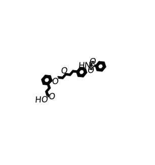 O=C(O)CCc1ccccc1OCCC(=O)CCc1cccc(NS(=O)(=O)c2ccccc2)c1